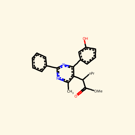 CCCC(C(=O)OC)c1c(C)nc(-c2ccccc2)nc1-c1cccc(O)c1